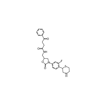 O=C(CCC(=O)c1ccccc1)NCC1CN(c2ccc(C3CNCCS3)c(F)c2)C(=O)O1